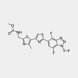 COC(=O)NCc1nc(C)c(-c2csc(-c3cc(F)c4c(nnn4SF)c3F)n2)s1